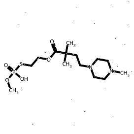 COP(=O)(O)SCCOC(=O)C(C)(C)CCN1CCN(C)CC1